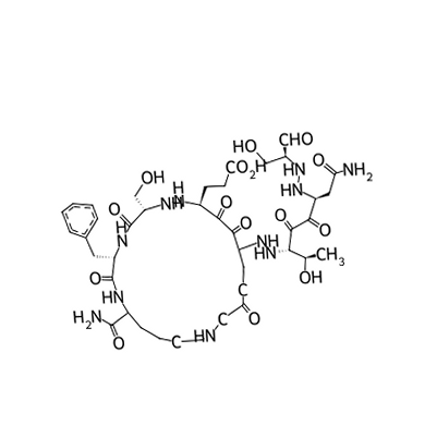 C[C@@H](O)[C@H](NNC1CCC(=O)CNCCCCC(C(N)=O)NC(=O)[C@H](Cc2ccccc2)NC(=O)[C@H](CO)NN[C@@H](CCC(=O)O)C(=O)C1=O)C(=O)C(=O)[C@H](CC(N)=O)NN[C@H](C=O)CO